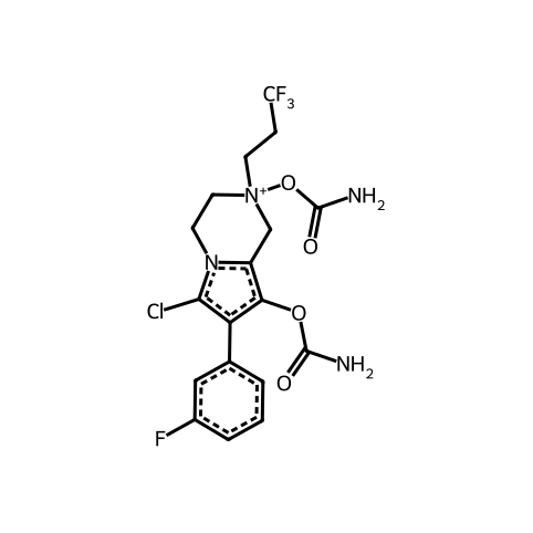 NC(=O)Oc1c(-c2cccc(F)c2)c(Cl)n2c1C[N+](CCC(F)(F)F)(OC(N)=O)CC2